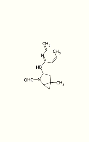 C=C/N=C(BC1CC2(C)CC2N1C=O)\C=C/C